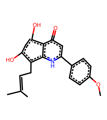 COc1ccc(-c2cc(=O)c3c(O)cc(O)c(CC=C(C)C)c3[nH]2)cc1